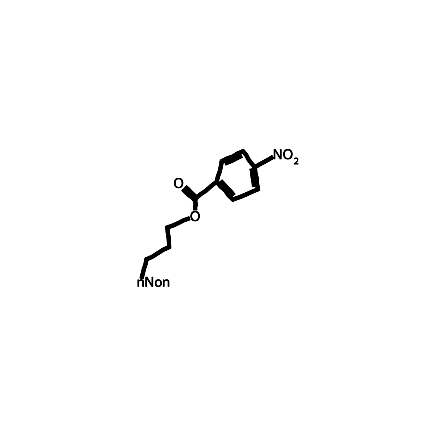 CCCCCCCCCCCCOC(=O)c1ccc([N+](=O)[O-])cc1